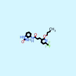 CCCCOc1nc(C(F)(F)F)ccc1/C=C/C(=O)Nc1cccc2[nH]c(=O)[nH]c12